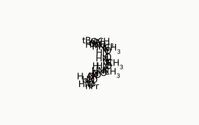 CCCNC(=O)CCNC(=O)c1nc(NC(=O)CCNC(=O)c2cc(NC(=O)c3nc(NC(=O)CCNC(=O)c4cc(NC(=O)c5nc(NC(=O)OC(C)(C)C)cn5C)cn4C)cn3C)cn2C)cn1C